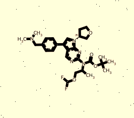 CC(COC(F)F)N(C(=O)OC(C)(C)C)c1ncc2c(-c3ccc(CN(C)C)cc3)cn([C@@H]3CCOC3)c2n1